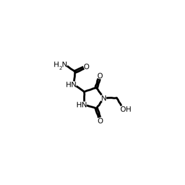 NC(=O)NC1NC(=O)N(CO)C1=O